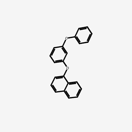 c1ccc(Oc2cccc(Oc3cccc4ccccc34)c2)cc1